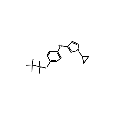 CC(C)(C)[Si](C)(C)Oc1ccc(Nc2cnn(C3CC3)c2)cc1